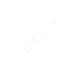 CCCc1cc(C(=O)Nc2ccc(Cl)nn2)cs1